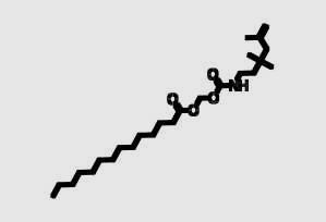 C=C(C)CC(C)(C)CCNC(=O)OCOC(=O)CCCCCCCCCCCCC